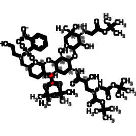 CC(C)(C)OC(=O)CN[C@@H]1[C@@H](O)[C@@H](O[C@@H]2[C@@H](O)[C@H](O[C@H]3O[C@H](CN(CCO)S(=O)(=O)c4ccccc4[N+](=O)[O-])CC[C@H]3NC(=O)OC(C)(C)C)[C@@H](NC(=O)OC(C)(C)C)C[C@H]2NC(=O)[C@@H](O)CN(NC(=O)OC(C)(C)C)C(=O)OC(C)(C)C)OC[C@]1(C)O